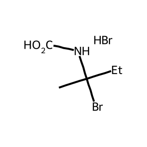 Br.CCC(C)(Br)NC(=O)O